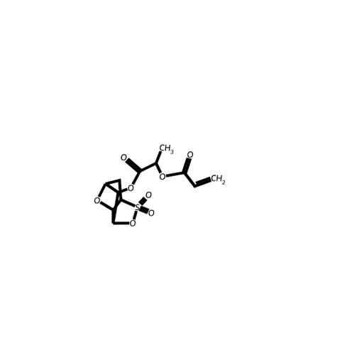 C=CC(=O)OC(C)C(=O)OC1C2CC3C(O2)C1OS3(=O)=O